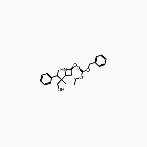 CC(OC(=O)OCc1ccccc1)[C@H]1C(=O)N[C@@H]1C(C)(CO)C(C)c1ccccc1